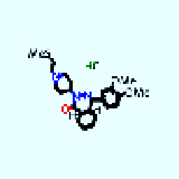 COc1ccc(C2=NN(C3CCN(CCSC)CC3)C(=O)[C@@H]3CC=CC[C@H]23)cc1OC.Cl